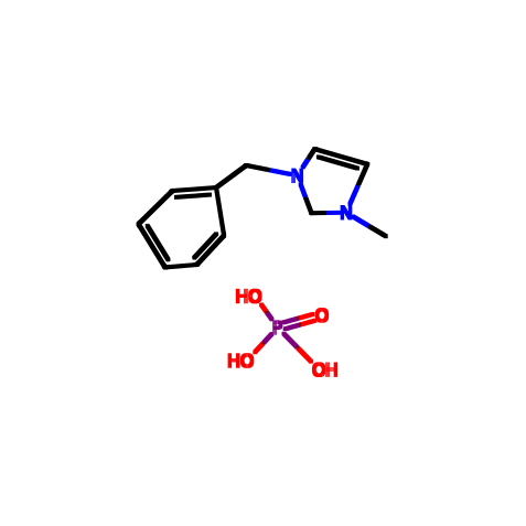 CN1C=CN(Cc2ccccc2)C1.O=P(O)(O)O